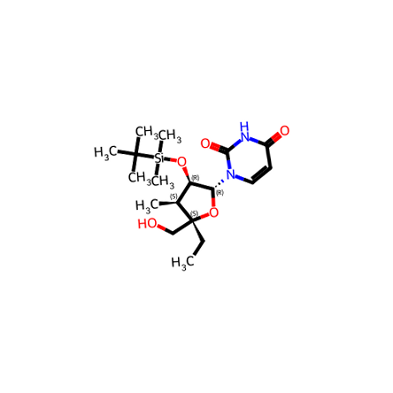 CC[C@]1(CO)O[C@@H](n2ccc(=O)[nH]c2=O)[C@H](O[Si](C)(C)C(C)(C)C)[C@@H]1C